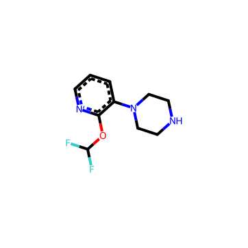 FC(F)Oc1ncccc1N1CCNCC1